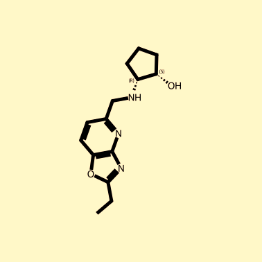 CCc1nc2nc(CN[C@@H]3CCC[C@@H]3O)ccc2o1